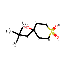 CCCC(C)(C)CC1(O)CCS(=O)(=O)CC1